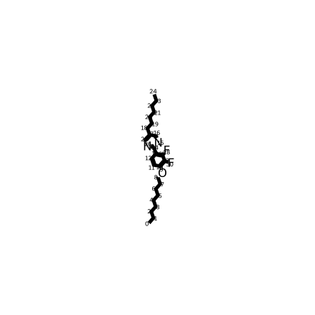 CCCCCCCCCOc1ccc(-c2ncc(CCCCCCC)cn2)c(F)c1F